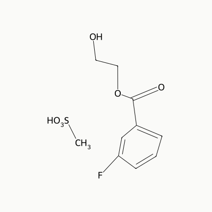 CS(=O)(=O)O.O=C(OCCO)c1cccc(F)c1